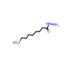 NNC(=O)CCCCCCCC(=O)O